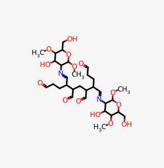 COC1OC(CO)C(OC)C(O)C1N=CC(CCC=O)C(C=O)CC(C=O)C(C=NC1C(OC)OC(CO)C(OC)C1O)CCC=O